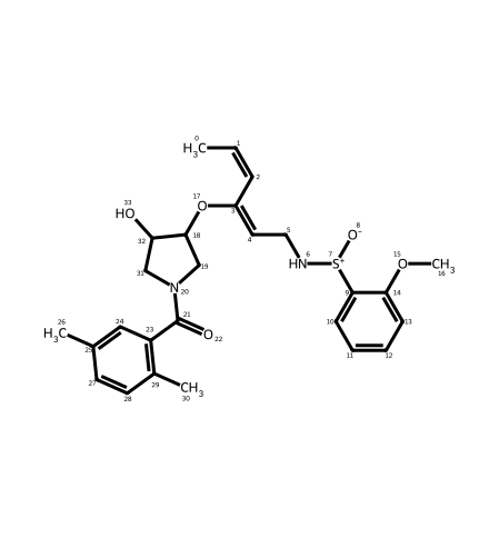 C/C=C\C(=C/CN[S+]([O-])c1ccccc1OC)OC1CN(C(=O)c2cc(C)ccc2C)CC1O